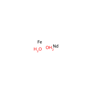 O.O.[Fe].[Nd]